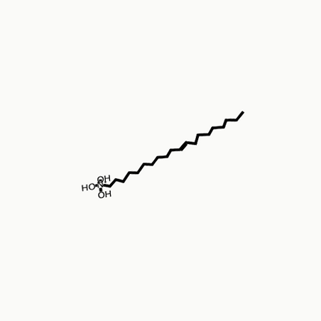 CCCCCCCCC=CCCCCCCCCCC[N+](O)(O)O